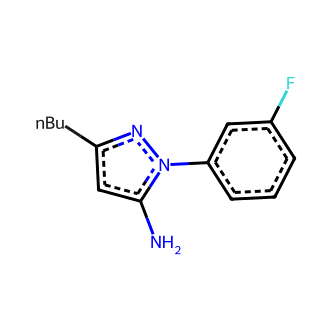 CCCCc1cc(N)n(-c2cccc(F)c2)n1